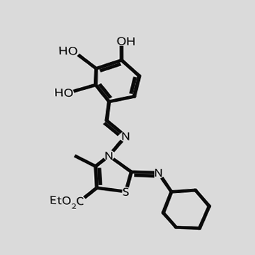 CCOC(=O)c1s/c(=N\C2CCCCC2)n(/N=C/c2ccc(O)c(O)c2O)c1C